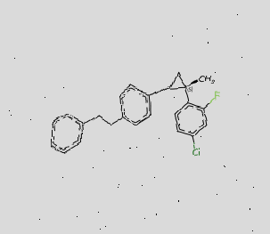 C[C@]1(c2ccc(Cl)cc2F)CC1c1ccc(CCc2ccccc2)cc1